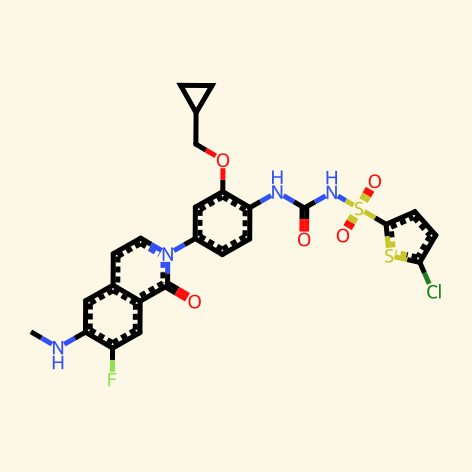 CNc1cc2ccn(-c3ccc(NC(=O)NS(=O)(=O)c4ccc(Cl)s4)c(OCC4CC4)c3)c(=O)c2cc1F